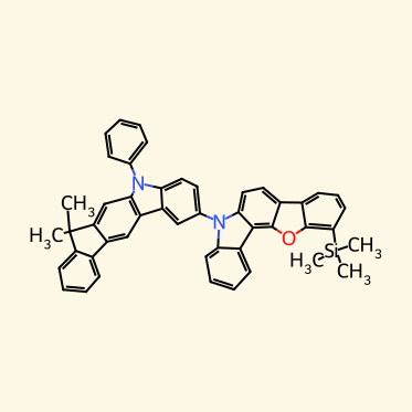 CC1(C)c2ccccc2-c2cc3c4cc(-n5c6ccccc6c6c7oc8c([Si](C)(C)C)cccc8c7ccc65)ccc4n(-c4ccccc4)c3cc21